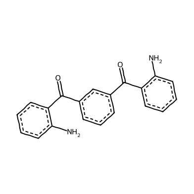 Nc1ccccc1C(=O)c1cccc(C(=O)c2ccccc2N)c1